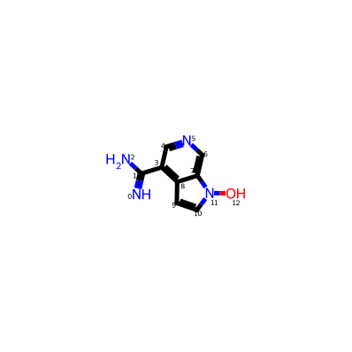 N=C(N)c1cncc2c1ccn2O